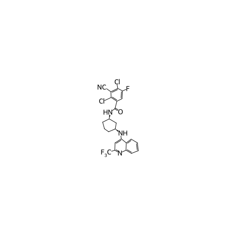 N#Cc1c(Cl)c(F)cc(C(=O)N[C@@H]2CCC[C@H](Nc3cc(C(F)(F)F)nc4ccccc34)C2)c1Cl